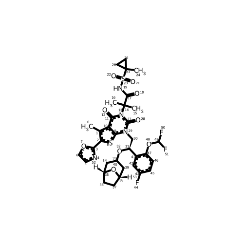 Cc1c(-c2ncco2)sc2c1c(=O)n(C(C)(C)C(=O)NS(=O)(=O)C1(C)CC1)c(=O)n2C[C@H](OC1C[C@H]2CC[C@@H](C1)O2)c1cc(F)ccc1OC(F)F